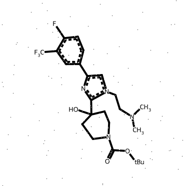 CN(C)CCn1cc(-c2ccc(F)c(C(F)(F)F)c2)nc1C1(O)CCN(C(=O)OC(C)(C)C)CC1